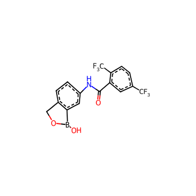 O=C(Nc1ccc2c(c1)B(O)OC2)c1cc(C(F)(F)F)ccc1C(F)(F)F